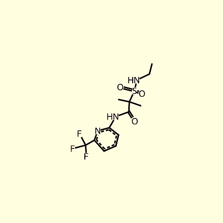 CCNS(=O)(=O)C(C)(C)C(=O)Nc1cccc(C(F)(F)F)n1